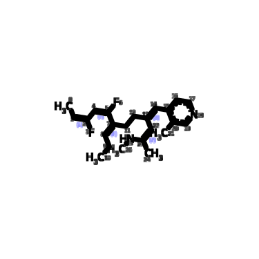 C\C=C(F)/C=C(F)\C(=C\CC)CCC(=C/c1ccncc1C)/C=C(/C)NC